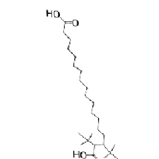 CC(C)(C)C(CCCCCCCCCCCCCCC(=O)O)C(C(=O)O)C(C)(C)C